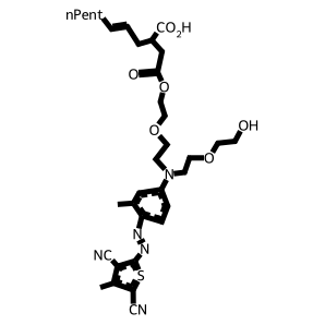 CCCCC/C=C/CC(CC(=O)OCCOCCN(CCOCCO)c1ccc(/N=N/c2sc(C#N)c(C)c2C#N)c(C)c1)C(=O)O